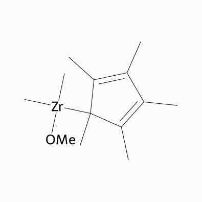 C[O][Zr]([CH3])([CH3])[C]1(C)C(C)=C(C)C(C)=C1C